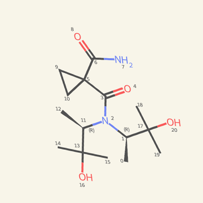 C[C@@H](N(C(=O)C1(C(N)=O)CC1)[C@H](C)C(C)(C)O)C(C)(C)O